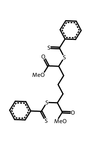 COC(=O)C(CCCC(SC(=S)c1ccccc1)C(=O)OC)SC(=S)c1ccccc1